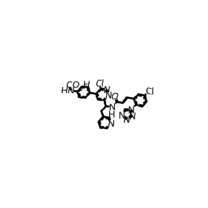 O=C(O)Nc1ccc(-c2cc(C(Cc3cccnc3)NC(=O)C=Cc3cc(Cl)ccc3-n3cnnn3)nnc2Cl)cc1